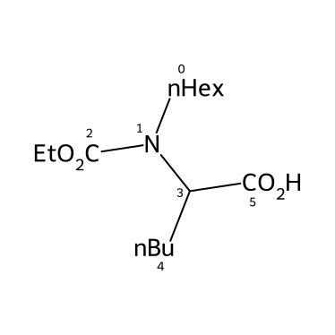 CCCCCCN(C(=O)OCC)C(CCCC)C(=O)O